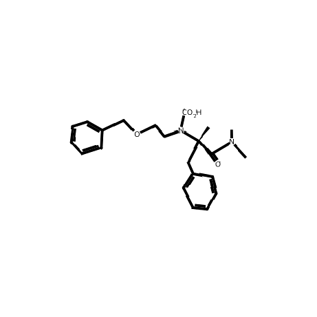 CN(C)C(=O)[C@](C)(Cc1ccccc1)N(CCOCc1ccccc1)C(=O)O